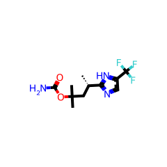 C[C@@H](CC(C)(C)OC(N)=O)c1ncc(C(F)(F)F)[nH]1